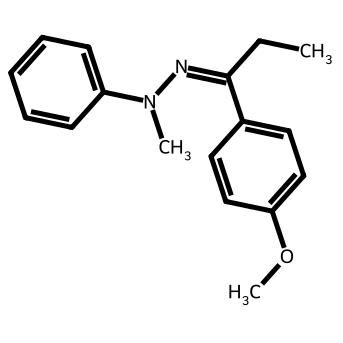 CCC(=NN(C)c1ccccc1)c1ccc(OC)cc1